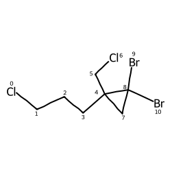 ClCCCC1(CCl)CC1(Br)Br